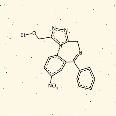 CCOCc1nnc2n1-c1ccc([N+](=O)[O-])cc1C(c1ccccc1)=NC2